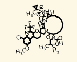 COc1cc(Cl)c2nc(C(F)(F)F)c3c(c2c1)CC[C@]1(C[C@H]2C(=O)N[C@]4(C(=O)NS(=O)(=O)C5(C)CC5)C[C@H]4/C=C\CCCCC[C@H](N(CC(C)C)C(=O)O)C(=O)N2C1)O3